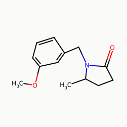 COc1cccc(CN2C(=O)CCC2C)c1